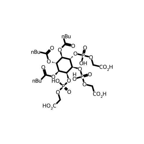 CCCCC(=O)O[C@@H]1[C@@H](OC(=O)CCCC)[C@H](OP(=O)(O)OCC(=O)O)[C@@H](OP(=O)(O)OCC(=O)O)[C@@H](OP(=O)(O)OCC(=O)O)[C@H]1OC(=O)CCCC